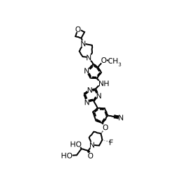 COc1cc(Nc2ncnc(-c3ccc(O[C@H]4CCN(C(=O)C(O)CO)C[C@H]4F)c(C#N)c3)n2)cnc1N1CCN(C2COC2)CC1